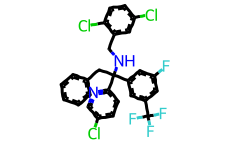 Fc1cc(C(F)(F)F)cc(C(Cc2ccccc2)(NCc2cc(Cl)ccc2Cl)c2ccc(Cl)cn2)c1